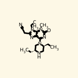 CC[C@@H]1CN(c2nc(=O)n(C)c3c2nc(CC#N)n3CC)[C@@H](CC)CN1